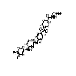 CONC(=O)C1CCN(S(=O)(=O)c2ccc(Nc3nccc(Nc4ccc(F)c(F)c4)n3)cc2)CC1